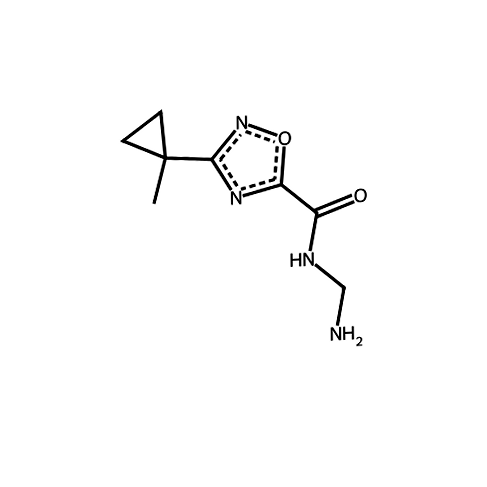 CC1(c2noc(C(=O)NCN)n2)CC1